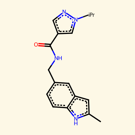 Cc1cc2cc(CNC(=O)c3cnn(C(C)C)c3)ccc2[nH]1